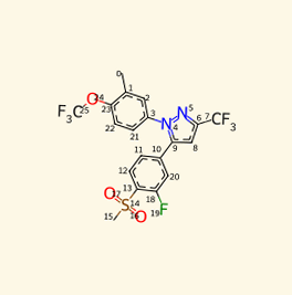 Cc1cc(-n2nc(C(F)(F)F)cc2-c2ccc(S(C)(=O)=O)c(F)c2)ccc1OC(F)(F)F